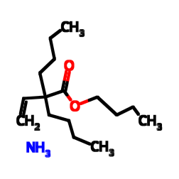 C=CC(CCCC)(CCCC)C(=O)OCCCC.N